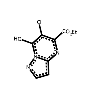 CCOC(=O)c1nc2ccnn2c(O)c1Cl